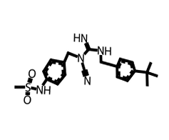 CC(C)(C)c1ccc(CNC(=N)N(C#N)Cc2ccc(NS(C)(=O)=O)cc2)cc1